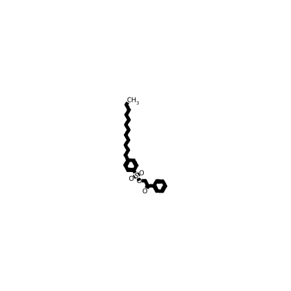 CCCCCCCCCCCCc1ccc(S(=O)(=O)OCC(=O)c2ccccc2)cc1